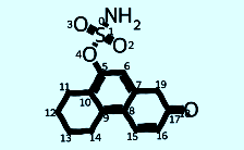 NS(=O)(=O)Oc1cc2c(c3c1CCCC3)C=CC(=O)C2